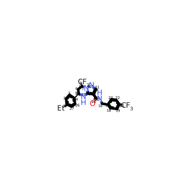 CCc1ccc([C@H]2C[C@@H](C(F)(F)F)n3ncc(C(=O)NCc4ccc(C(F)(F)F)cc4)c3N2)cc1